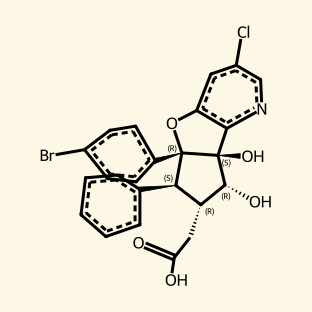 O=C(O)C[C@H]1[C@@H](O)[C@@]2(O)c3ncc(Cl)cc3O[C@@]2(c2ccc(Br)cc2)[C@@H]1c1ccccc1